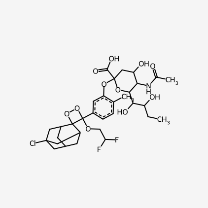 CCC(O)C(O)C1OC(Oc2cc(C3(OCC(F)F)OOC34C3CC5CC4CC(Cl)(C5)C3)ccc2C)(C(=O)O)CC(O)C1NC(C)=O